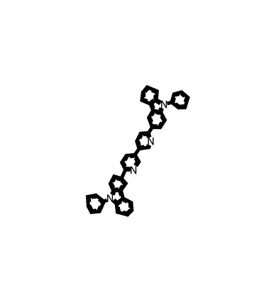 c1ccc(-n2c3ccccc3c3cc(-c4ccc(-c5ccc(-c6ccc7c(c6)c6ccccc6n7-c6ccccc6)nc5)cn4)ccc32)cc1